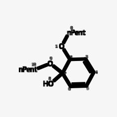 CCCCCOC1C=CC=CC1(O)OCCCCC